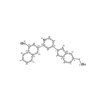 CC(C)(C)Cc1ccc2cc(-c3ccnc(-c4cc(C(C)(C)C)c5ccccc5c4)c3)sc2c1